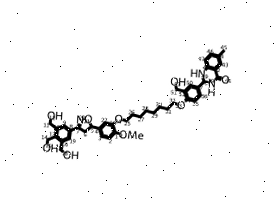 COc1ccc(C2CC(c3cc(CO)c(CO)c(CO)c3)=NO2)cc1OCCCCCCCCOc1ccc(C2NC(=O)c3cc(C)ccc3N2)cc1CO